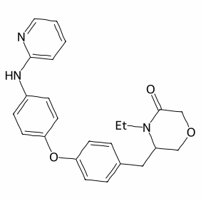 CCN1C(=O)COCC1Cc1ccc(Oc2ccc(Nc3ccccn3)cc2)cc1